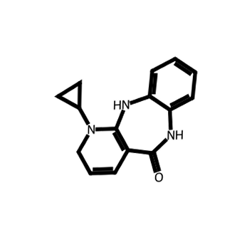 O=C1Nc2ccccc2NC2=C1C=CCN2C1CC1